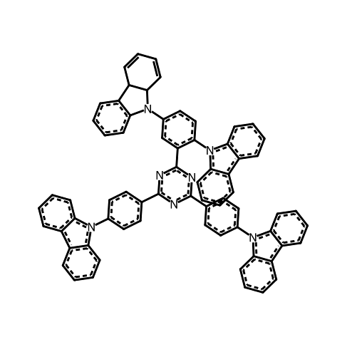 C1=CC2c3ccccc3N(c3ccc(-n4c5ccccc5c5ccccc54)c(-c4nc(-c5ccc(-n6c7ccccc7c7ccccc76)cc5)nc(-c5ccc(-n6c7ccccc7c7ccccc76)cc5)n4)c3)C2C=C1